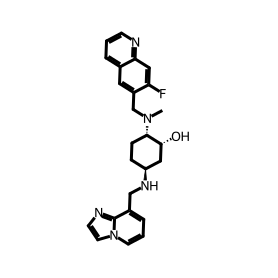 CN(Cc1cc2cccnc2cc1F)[C@H]1CC[C@H](NCc2cccn3ccnc23)C[C@H]1O